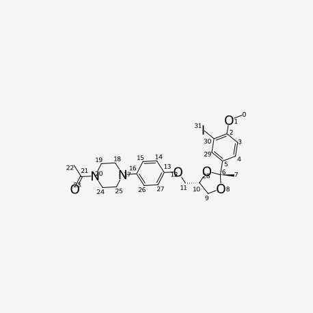 COc1ccc([C@]2(C)OC[C@H](COc3ccc(N4CCN(C(C)=O)CC4)cc3)O2)cc1I